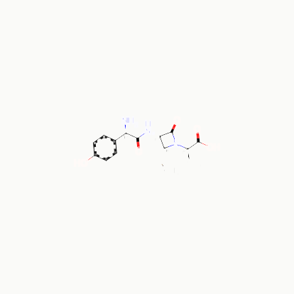 CS[C@@H]1[C@H](NC(=O)[C@H](N)c2ccc(O)cc2)C(=O)N1[C@H](C)C(=O)O